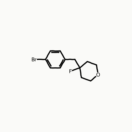 FC1(Cc2ccc(Br)cc2)CCOCC1